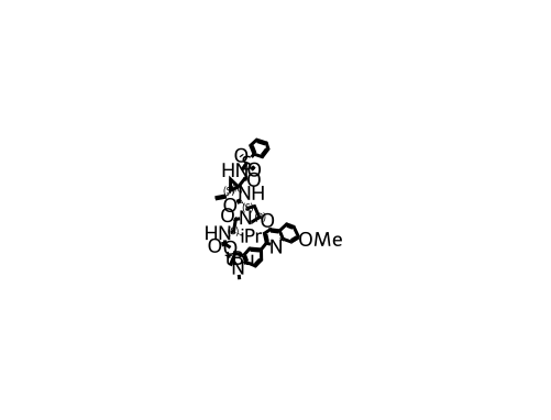 C=C[C@@H]1C[C@]1(NC(=O)[C@@H]1C[C@@H](Oc2cc(-c3ccc4c(c3)CCN4C)nc3cc(OC)ccc23)CN1C(=O)[C@@H](NC(=O)OC(C)(C)C)C(C)C)C(=O)NS(=O)(=O)c1ccccc1